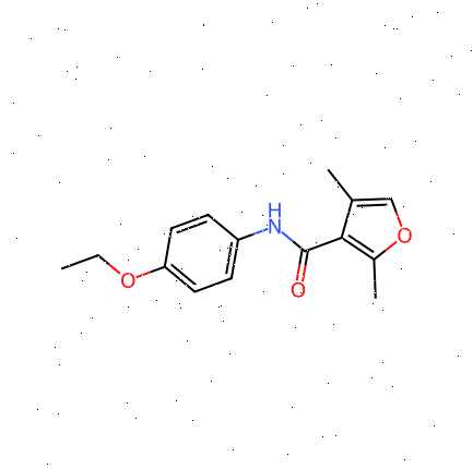 CCOc1ccc(NC(=O)c2c(C)coc2C)cc1